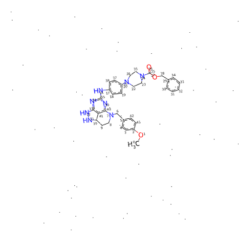 COc1ccc(CN2CCC3NNc4nc(Nc5ccc(N6CCN(C(=O)OCc7ccccc7)CC6)cc5)nc2c43)cc1